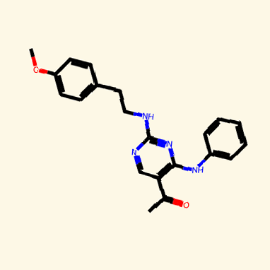 COc1ccc(CCNc2ncc(C(C)=O)c(Nc3ccccc3)n2)cc1